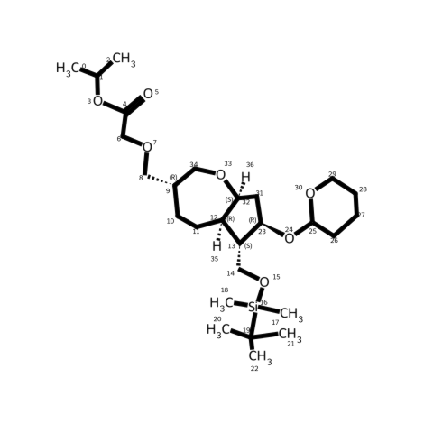 CC(C)OC(=O)COC[C@H]1CC[C@@H]2[C@@H](CO[Si](C)(C)C(C)(C)C)[C@H](OC3CCCCO3)C[C@@H]2OC1